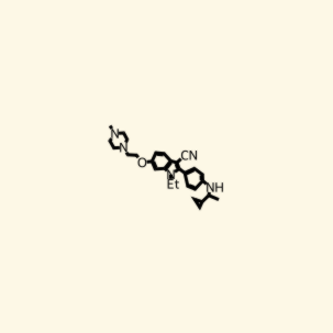 CCn1c(-c2ccc(NC(C)C3CC3)cc2)c(C#N)c2ccc(OCCN3CCN(C)CC3)cc21